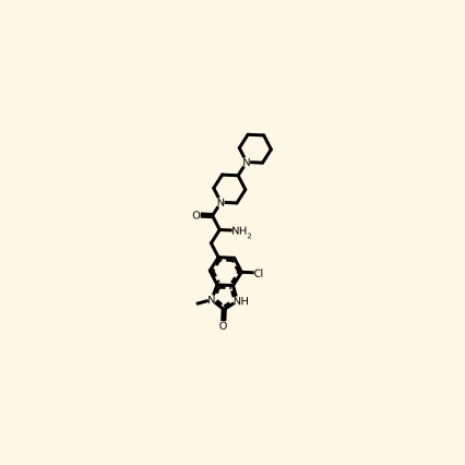 Cn1c(=O)[nH]c2c(Cl)cc(CC(N)C(=O)N3CCC(N4CCCCC4)CC3)cc21